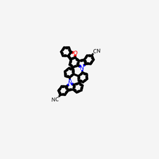 N#Cc1ccc2c(c1)c1ccccc1n2-c1ccccc1-c1ccccc1-n1c2ccc(C#N)cc2c2c3oc4ccccc4c3ccc21